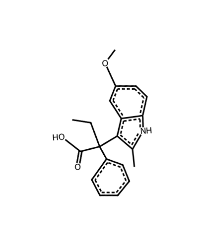 CCC(C(=O)O)(c1ccccc1)c1c(C)[nH]c2ccc(OC)cc12